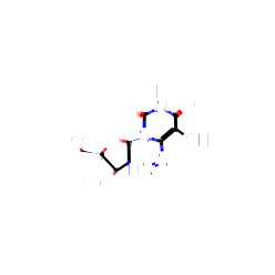 Cc1c(N=N)n([C@H]2CC(O)[C@@H](CO)O2)c(=O)[nH]c1=O